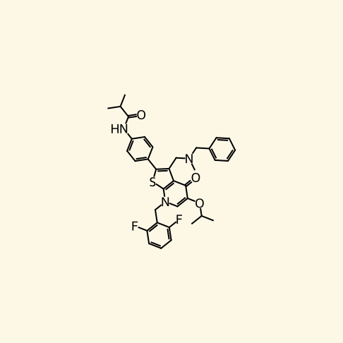 CC(C)Oc1cn(Cc2c(F)cccc2F)c2sc(-c3ccc(NC(=O)C(C)C)cc3)c(CN(C)Cc3ccccc3)c2c1=O